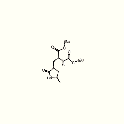 CN1CC(C[C@H](NC(=O)OC(C)(C)C)C(=O)OC(C)(C)C)C(=O)N1